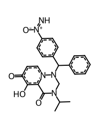 CC(C)N1CN(C(c2ccccc2)c2ccc([N+](=N)[O-])cc2)n2ccc(=O)c(O)c2C1=O